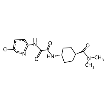 CN(C)C(=O)[C@H]1CC[C@H](NC(=O)C(=O)Nc2ccc(Cl)cn2)CC1